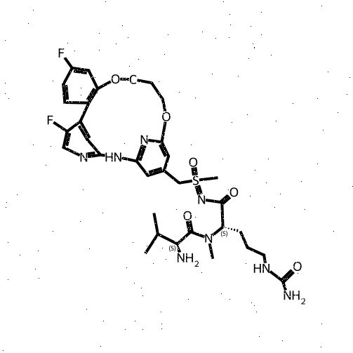 CC(C)[C@H](N)C(=O)N(C)[C@@H](CCCNC(N)=O)C(=O)N=S(C)(=O)Cc1cc2nc(c1)OCCCOc1cc(F)ccc1-c1cc(ncc1F)N2